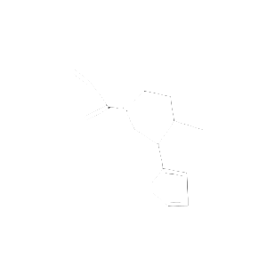 C=CC(=O)N1CCC(C)C(c2ccco2)C1